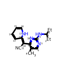 CCC(CC)Nc1ncc(C)c(/C(C#N)=C2/C=CC=CN2)n1